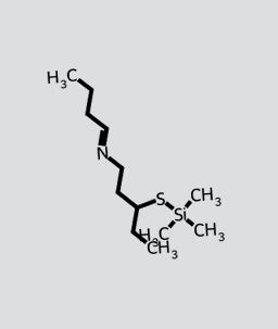 CCCC=NCCC(CC)S[Si](C)(C)C